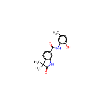 Cc1ccc(O)c(NC(=O)c2ccc3c(c2)NC(=O)C3(C)C)c1